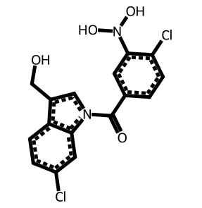 O=C(c1ccc(Cl)c(N(O)O)c1)n1cc(CO)c2ccc(Cl)cc21